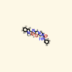 Cn1c(C2=NC(=CN3CCN(C(=O)Nc4ccccc4)CC3)C(=O)O2)cc2ccccc21